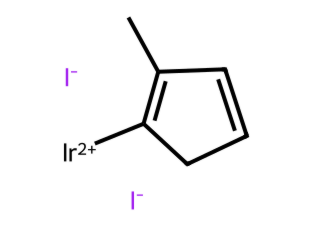 CC1=[C]([Ir+2])CC=C1.[I-].[I-]